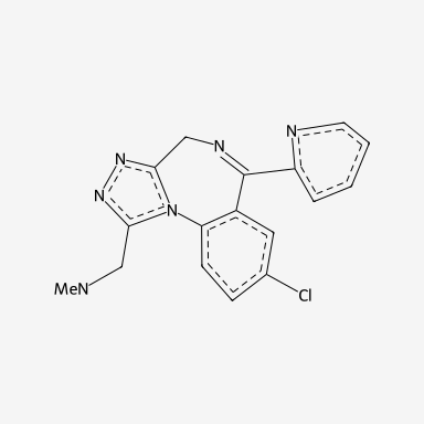 CNCc1nnc2n1-c1ccc(Cl)cc1C(c1ccccn1)=NC2